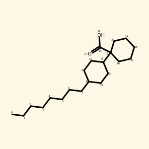 CCCCCCCCC1CCC(C2(C(=O)O)CCCCC2)CC1